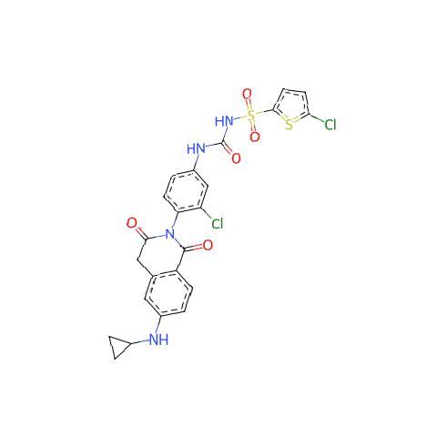 O=C(Nc1ccc(N2C(=O)Cc3cc(NC4CC4)ccc3C2=O)c(Cl)c1)NS(=O)(=O)c1ccc(Cl)s1